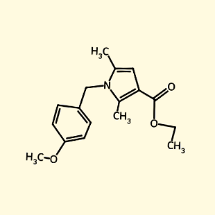 CCOC(=O)c1cc(C)n(Cc2ccc(OC)cc2)c1C